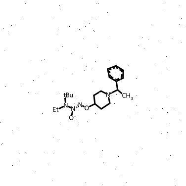 CCN(/[N+]([O-])=N/OC1CCN(C(C)c2ccccc2)CC1)C(C)(C)C